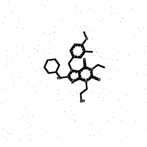 CCn1c(=O)c2c(nc(NC3CCCCC3)n2Cc2ccc(OC)c(C)c2)n(CCO)c1=O